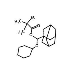 CCC(C)(C)C(=O)OC(OC1CCCCC1)C12CC3CC(CC(C3)C1)C2